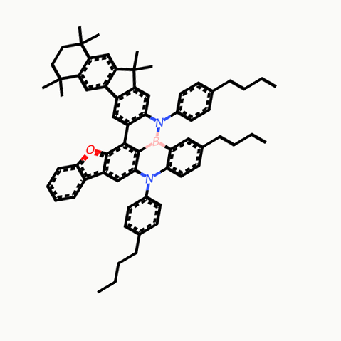 CCCCc1ccc(N2B3c4cc(CCCC)ccc4N(c4ccc(CCCC)cc4)c4cc5c(oc6ccccc65)c(c43)-c3cc4c(cc32)C(C)(C)c2cc3c(cc2-4)C(C)(C)CCC3(C)C)cc1